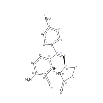 CC(C)(C)c1ccc(/C(=C/[C@H]2CCC(=O)N2)c2ccc(N)c(=O)[nH]2)cc1